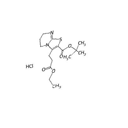 CCOC(=O)CCC1=C(C(=O)OC(C)(C)C)SC2=NCCCN21.Cl